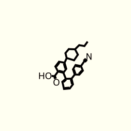 CCCC1CCC(c2ccc(C(=O)O)c(-c3ccccc3-c3ccc(C#N)cc3)c2)CC1